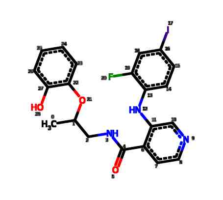 CC(CNC(=O)c1ccncc1Nc1ccc(I)cc1F)Oc1ccccc1O